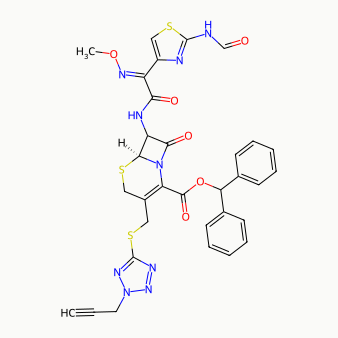 C#CCn1nnc(SCC2=C(C(=O)OC(c3ccccc3)c3ccccc3)N3C(=O)C(NC(=O)C(=NOC)c4csc(NC=O)n4)[C@@H]3SC2)n1